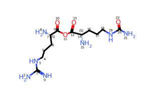 N=C(N)NCCC[C@H](N)C(=O)OC(=O)[C@@H](N)CCCNC(N)=O